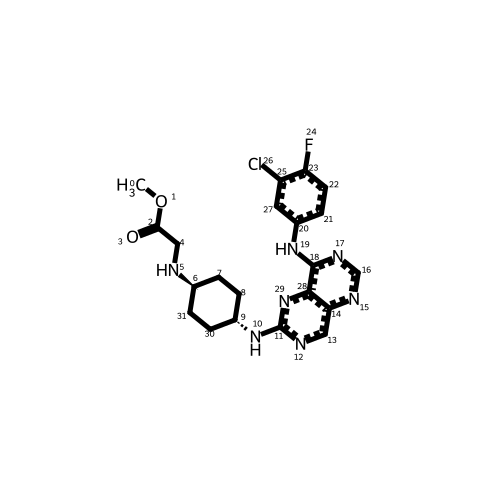 COC(=O)CN[C@H]1CC[C@H](Nc2ncc3ncnc(Nc4ccc(F)c(Cl)c4)c3n2)CC1